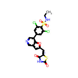 CCNS(=O)(=O)c1c(Cl)cc(-c2cncc3cc(/C=C4/SC(=O)NC4=O)oc23)cc1Cl